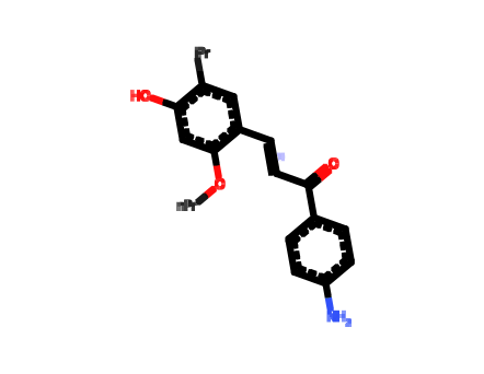 CCCOc1cc(O)c(C(C)C)cc1/C=C/C(=O)c1ccc(N)cc1